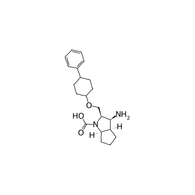 N[C@H]1[C@H]2CCC[C@H]2N(C(=O)O)[C@H]1COC1CCC(c2ccccc2)CC1